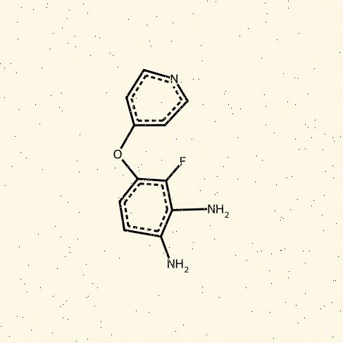 Nc1ccc(Oc2ccncc2)c(F)c1N